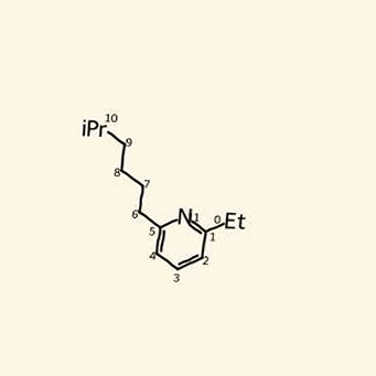 CCc1cccc(CCCCC(C)C)n1